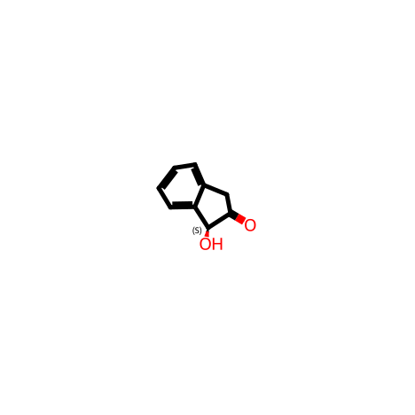 O=C1Cc2ccccc2[C@@H]1O